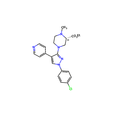 CCOC(=O)[C@@H]1CN(c2nn(-c3ccc(Cl)cc3)cc2-c2ccncc2)CCN1C